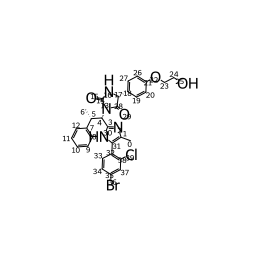 Cc1nc([C@H]([C@@H](C)c2ccccc2)N2C(=O)N[C@H](c3ccc(OCCO)cc3)C2=O)[nH]c1-c1ccc(Br)cc1Cl